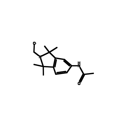 CC(=O)Nc1ccc2c(c1)C(C)(C)N(C[O])C2(C)C